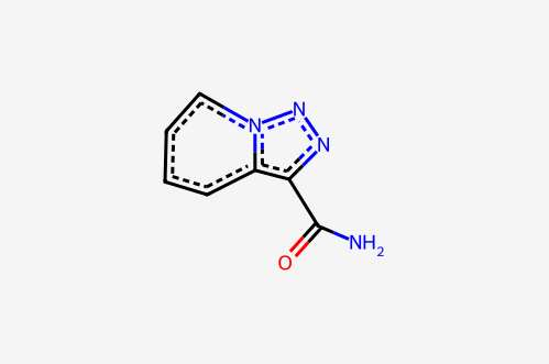 NC(=O)c1nnn2ccccc12